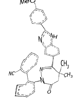 COc1ccc(-c2nc3cc(C4=NN(c5ccccc5-c5ccccc5C#N)C(=O)CC4(C)C)ccc3[nH]2)cc1